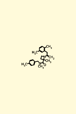 C=C(Cc1cc(C)ccc1C)N1CCC1(C)C(=O)N(C)Cc1ccc(C)cc1